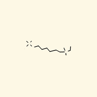 CC[N+](C)(C)CCCCCCO[Si](C)(C)C